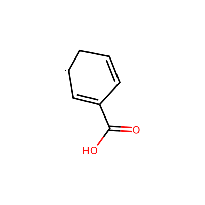 O=C(O)C1=C[CH]CC=C1